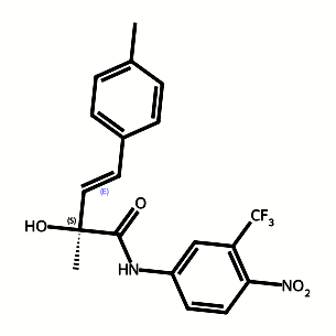 Cc1ccc(/C=C/[C@](C)(O)C(=O)Nc2ccc([N+](=O)[O-])c(C(F)(F)F)c2)cc1